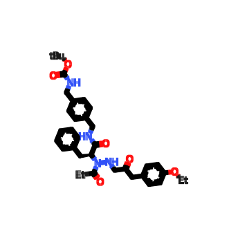 CCOc1ccc(CC(=O)CNN(C(=O)CC)[C@@H](Cc2ccccc2)C(=O)NCc2ccc(CNC(=O)OC(C)(C)C)cc2)cc1